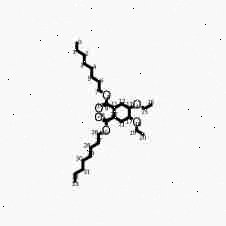 CCCCCCCCOC(=O)C1CC(OCC)C(OCC)CC1C(=O)OCCCCCCCC